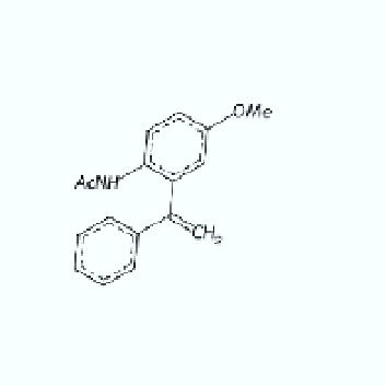 C=C(c1ccccc1)c1cc(OC)ccc1NC(C)=O